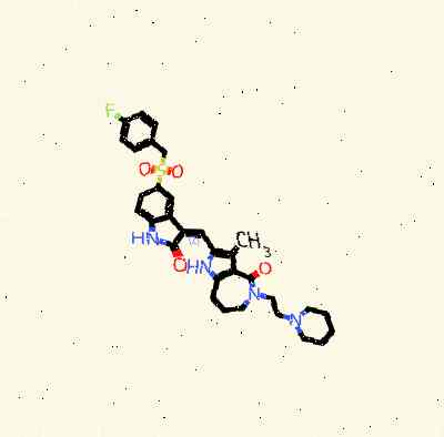 Cc1c(/C=C2\C(=O)NC3=CCC(S(=O)(=O)Cc4ccc(F)cc4)C=C32)[nH]c2c1C(=O)N(CCN1CCCCC1)CCC2